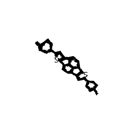 Cc1ccc(-c2cc3c(s2)-c2ccc4c5c(ccc-3c25)-c2sc(-c3ccc(C)cc3)cc2-4)cc1